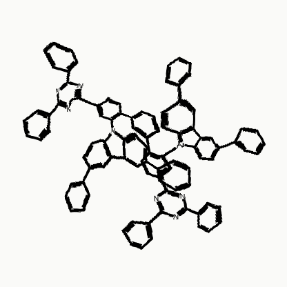 c1ccc(-c2ccc3c(c2)c2cc(-c4ccccc4)ccc2n3-c2cc(-c3nc(-c4ccccc4)nc(-c4ccccc4)n3)ccc2-c2cccc(-c3ccc(-c4nc(-c5ccccc5)nc(-c5ccccc5)n4)cc3-n3c4ccc(-c5ccccc5)cc4c4cc(-c5ccccc5)ccc43)c2)cc1